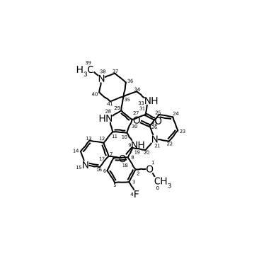 COc1c(F)cccc1Nc1c(-c2ccncc2OCCn2ccccc2=O)[nH]c2c1C(=O)NCC21CCN(C)CC1